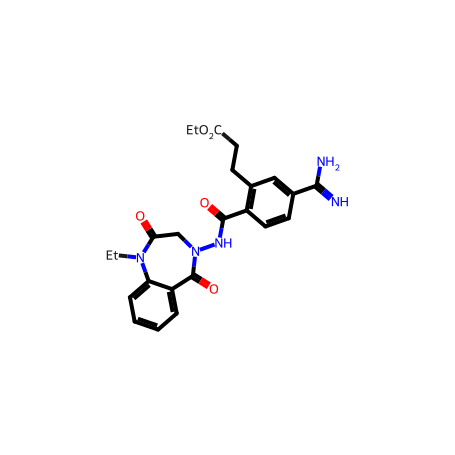 CCOC(=O)CCc1cc(C(=N)N)ccc1C(=O)NN1CC(=O)N(CC)c2ccccc2C1=O